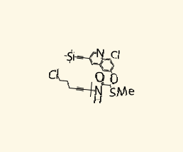 CSC(Oc1cc(Cl)c2ncc(C#C[Si](C)(C)C)cc2c1)C(=O)NC(C)(C)C#CCCCCl